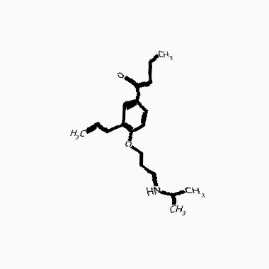 C=CCc1cc(C(=O)CCC)ccc1OCCCNC(C)C